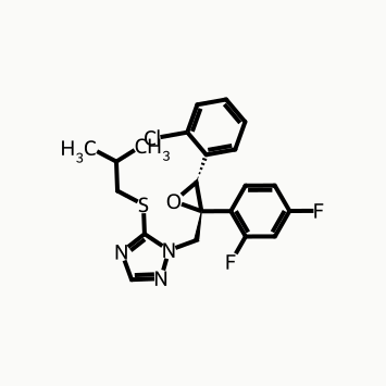 CC(C)CSc1ncnn1C[C@@]1(c2ccc(F)cc2F)O[C@@H]1c1ccccc1Cl